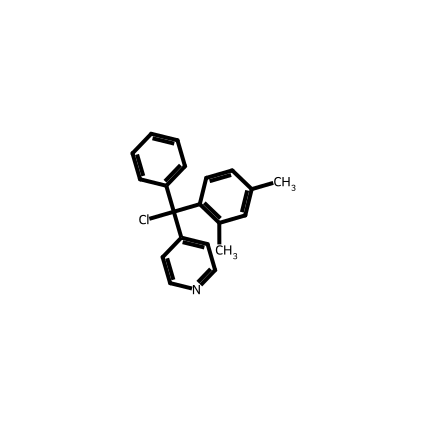 Cc1ccc(C(Cl)(c2ccccc2)c2ccncc2)c(C)c1